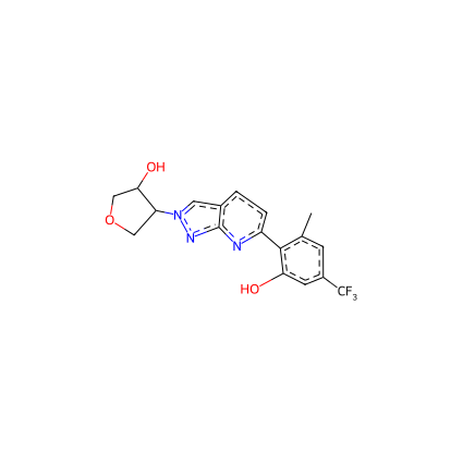 Cc1cc(C(F)(F)F)cc(O)c1-c1ccc2cn(C3COCC3O)nc2n1